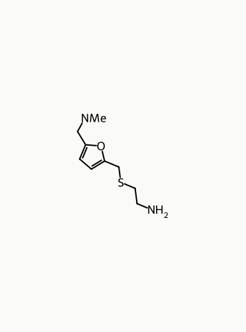 CNCc1ccc(CSCCN)o1